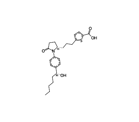 CCCCC[C@@H](O)c1ccc(N2C(=O)CC[C@@H]2CCCc2ccc(C(=O)O)s2)cc1